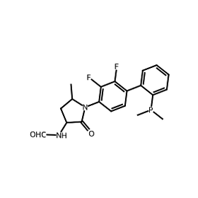 CC1CC(NC=O)C(=O)N1c1ccc(-c2ccccc2P(C)C)c(F)c1F